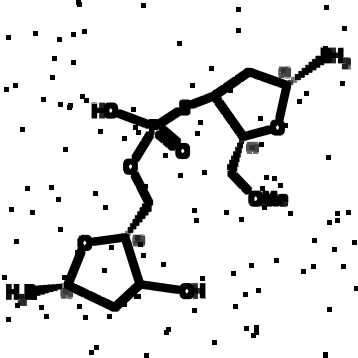 B[C@H]1CC(O)[C@@H](COP(=O)(O)SC2C[C@H](B)O[C@@H]2COC)O1